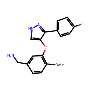 COc1ccc(CN)cc1Oc1c[nH]nc1-c1ccc(F)cc1